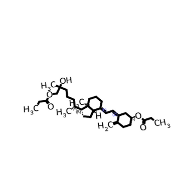 C=C1CC[C@H](OC(=O)CC)C/C1=C/C=C1\CCC[C@]2(C)[C@@H]([C@H](C)CCCC(C)(O)COC(=O)CC)CC[C@@H]12